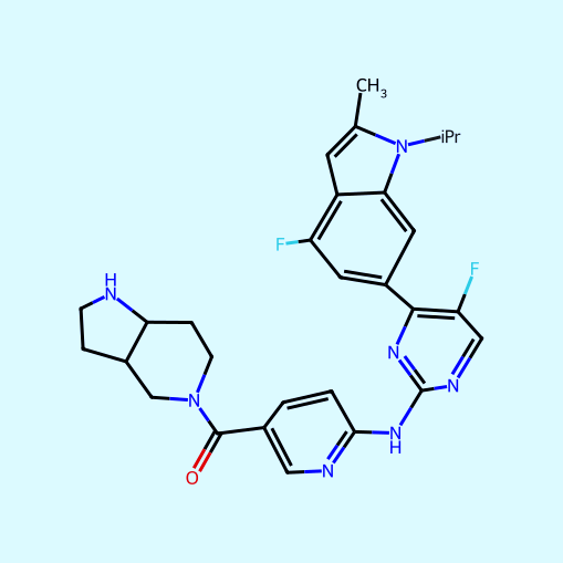 Cc1cc2c(F)cc(-c3nc(Nc4ccc(C(=O)N5CCC6NCCC6C5)cn4)ncc3F)cc2n1C(C)C